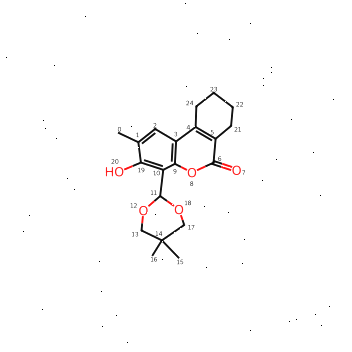 Cc1cc2c3c(c(=O)oc2c(C2OCC(C)(C)CO2)c1O)CCCC3